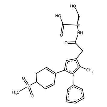 Cc1c(CC(=O)N[C@H](CO)C(=O)O)cc(C2=CCC(S(C)(=O)=O)C=C2)n1-c1ccccc1